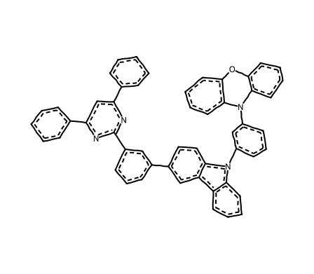 c1ccc(-c2cc(-c3ccccc3)nc(-c3cccc(-c4ccc5c(c4)c4ccccc4n5-c4cccc(N5c6ccccc6Oc6ccccc65)c4)c3)n2)cc1